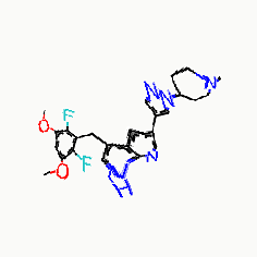 COc1cc(OC)c(F)c(Cc2c[nH]c3ncc(-c4cnn(C5CCN(C)CC5)c4)cc23)c1F